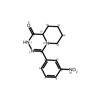 O=C1NN=C(c2cccc([N+](=O)[O-])c2)N2CCCCC12